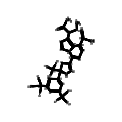 CSC(C(N)=O)c1ccn2c(C3=NOC(c4cc(C(F)(F)F)cc(C(F)(F)F)c4)(C(F)(F)F)C3)ccc(C(=O)O)c12